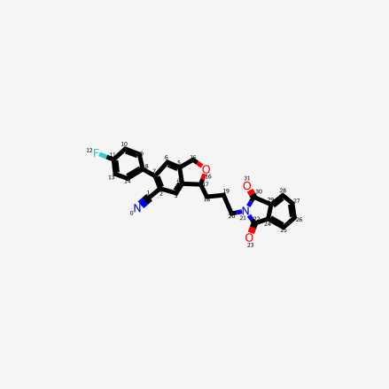 N#Cc1cc2c(cc1-c1ccc(F)cc1)COC2CCCN1C(=O)c2ccccc2C1=O